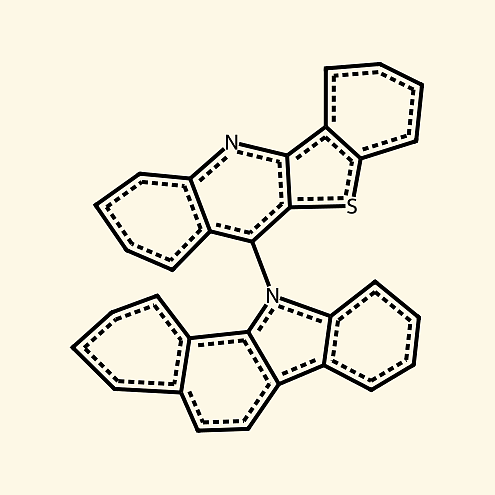 c1ccc2c(c1)ccc1c3ccccc3n(-c3c4ccccc4nc4c3sc3ccccc34)c21